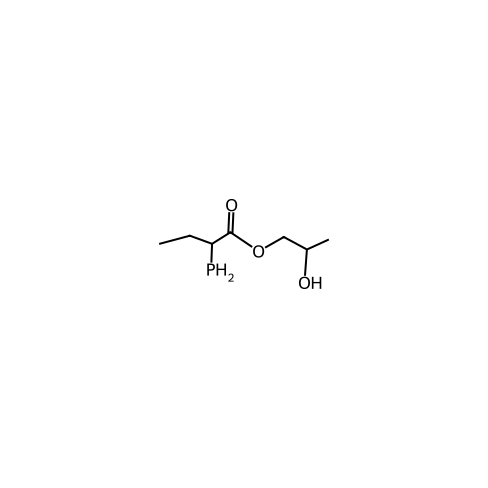 CCC(P)C(=O)OCC(C)O